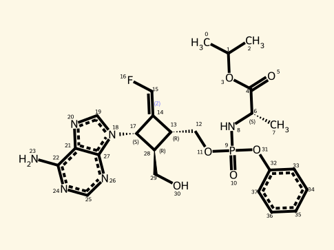 CC(C)OC(=O)[C@H](C)NP(=O)(OC[C@H]1/C(=C/F)[C@@H](n2cnc3c(N)ncnc32)[C@@H]1CO)Oc1ccccc1